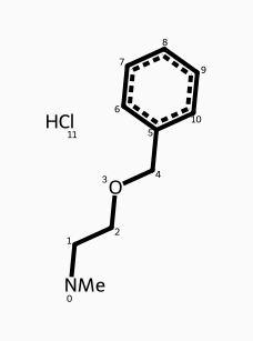 CNCCOCc1ccccc1.Cl